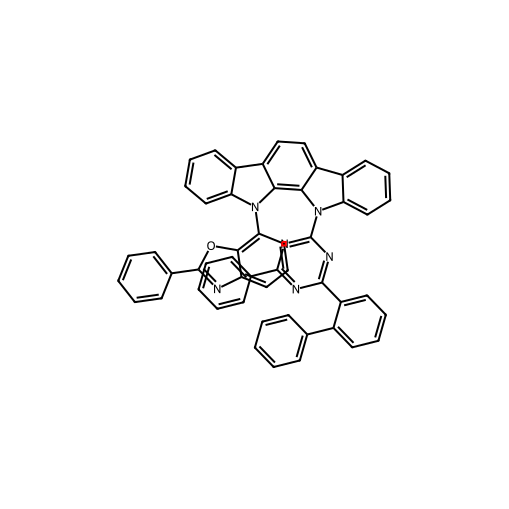 c1ccc(-c2nc(-c3ccccc3-c3ccccc3)nc(-n3c4ccccc4c4ccc5c6ccccc6n(-c6cccc7nc(-c8ccccc8)oc67)c5c43)n2)cc1